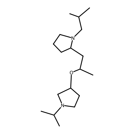 CC(C)CN1CCCC1CC(C)OC1CCN(C(C)C)C1